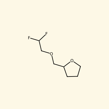 FC(F)COCC1CCCO1